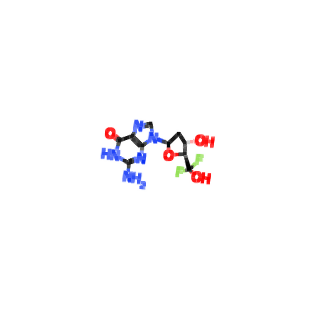 Nc1nc2c(ncn2[C@H]2C[C@H](O)[C@@H](C(O)(F)F)O2)c(=O)[nH]1